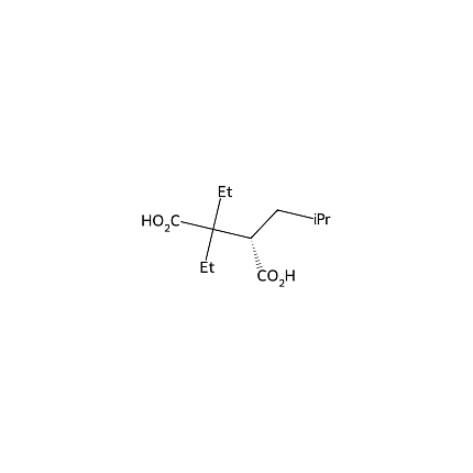 CCC(CC)(C(=O)O)[C@H](CC(C)C)C(=O)O